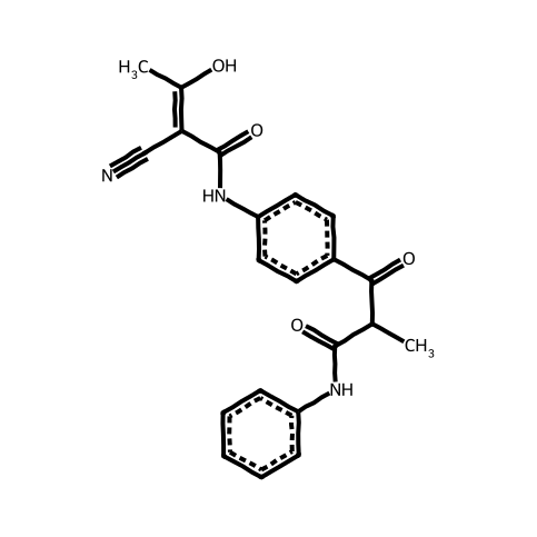 C/C(O)=C(\C#N)C(=O)Nc1ccc(C(=O)C(C)C(=O)Nc2ccccc2)cc1